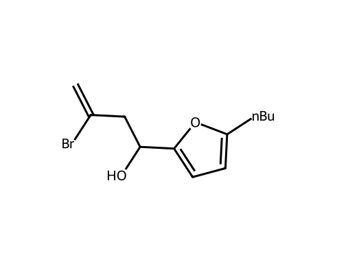 C=C(Br)CC(O)c1ccc(CCCC)o1